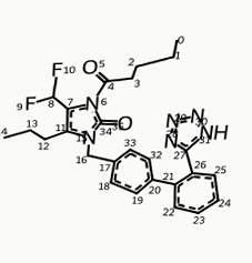 CCCCC(=O)n1c(C(F)F)c(CCC)n(Cc2ccc(-c3ccccc3-c3nnn[nH]3)cc2)c1=O